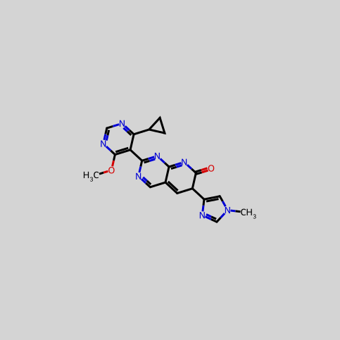 COc1ncnc(C2CC2)c1-c1ncc2c(n1)=NC(=O)C(c1cn(C)cn1)C=2